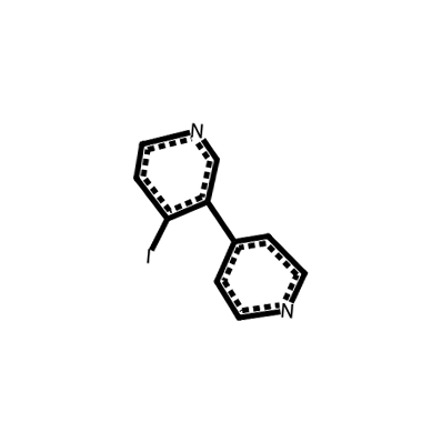 Ic1ccncc1-c1ccncc1